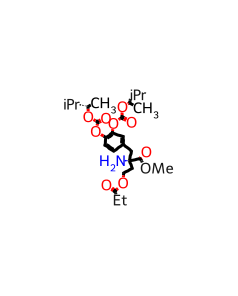 CCC(=O)OCC[C@@](N)(Cc1ccc(OC(=O)O[C@@H](C)C(C)C)c(OC(=O)OC(C)C(C)C)c1)C(=O)OC